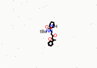 Cc1c(C(=O)CCC[C@H]2CC3CC[C@H](C2)N3CC(=O)NC(C)(C)C)oc2ccccc12